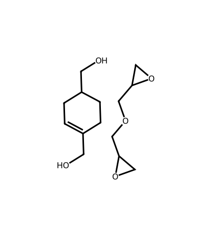 C(OCC1CO1)C1CO1.OCC1=CCC(CO)CC1